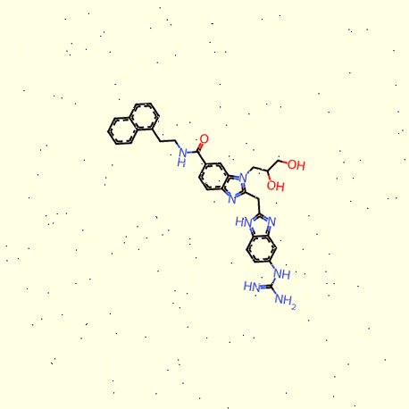 N=C(N)Nc1ccc2[nH]c(Cc3nc4ccc(C(=O)NCCc5cccc6ccccc56)cc4n3CC(O)CO)nc2c1